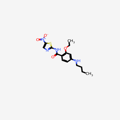 CCCCNc1ccc(C(=O)Nc2ncc([N+](=O)[O-])s2)c(OCC)c1